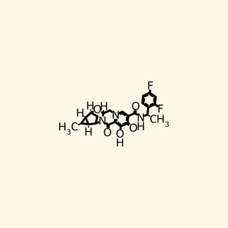 C[C@@H]1[C@@H]2C3C[C@H](O[C@@H]4Cn5cc(C(=O)N[C@H](C)c6ccc(F)cc6F)c(=O)c(O)c5C(=O)N34)[C@H]12